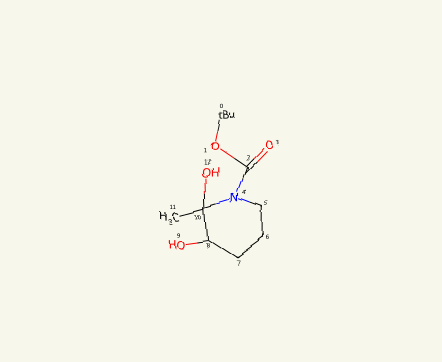 CC(C)(C)OC(=O)N1CCCC(O)C1(C)O